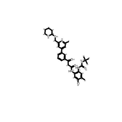 Cc1cc(-c2cccc(C(=O)CC(=O)Nc3cc(Cl)c(C)cc3NC(=O)OC(C)(C)C)c2)cc(COC2CCCCO2)n1